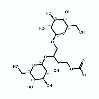 [2H]C(=O)OCCC(CO[C@@H]1O[C@H](CO)[C@@H](O)[C@H](O)[C@H]1O)O[C@@H]1O[C@H](CO)[C@@H](O)[C@H](O)[C@H]1O